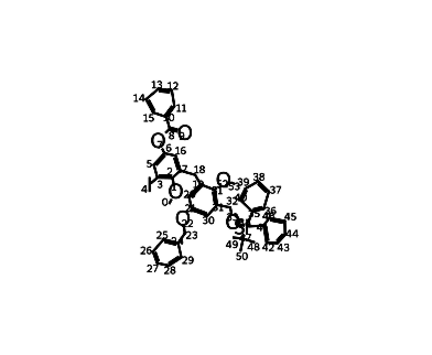 COc1c(I)cc(OC(=O)c2ccccc2)cc1Cc1cc(OCc2ccccc2)cc(CO[Si](c2ccccc2)(c2ccccc2)C(C)(C)C)c1OC